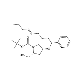 CCCC=CCCCC(O[C@H]1C[C@H](CO)N(C(=O)OC(C)(C)C)C1)c1ccccc1